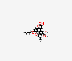 CCCCCOc1ccc(/C=C(/C=C\C(=O)O)c2cccc(C(=O)OC)c2)cc1OCCCCC